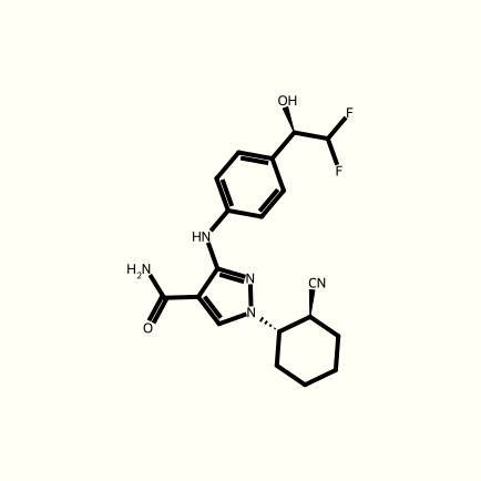 N#C[C@H]1CCCC[C@@H]1n1cc(C(N)=O)c(Nc2ccc([C@@H](O)C(F)F)cc2)n1